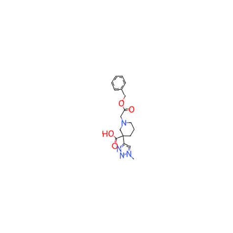 Cn1cc(C2(C(=O)O)CCCN(CC(=O)OCc3ccccc3)C2)nn1